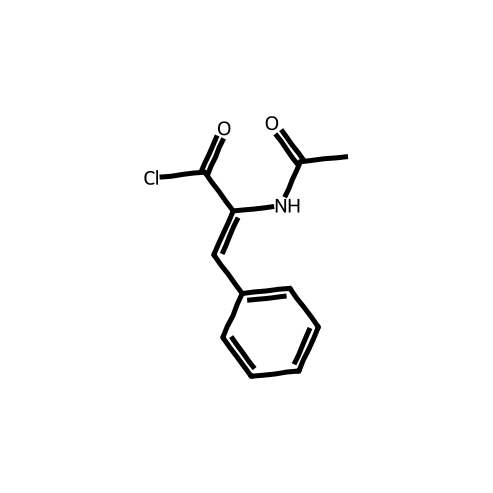 CC(=O)NC(=Cc1ccccc1)C(=O)Cl